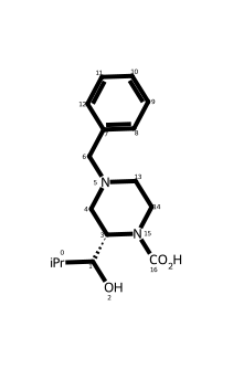 CC(C)C(O)[C@@H]1CN(Cc2ccccc2)CCN1C(=O)O